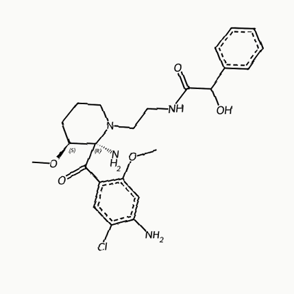 COc1cc(N)c(Cl)cc1C(=O)[C@@]1(N)[C@@H](OC)CCCN1CCNC(=O)C(O)c1ccccc1